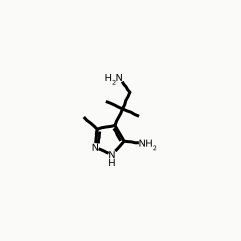 Cc1n[nH]c(N)c1C(C)(C)CN